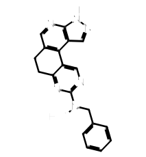 CN(Cc1ccccc1)c1ncc2c(n1)CCc1cnc3[nH]ncc3c1-2